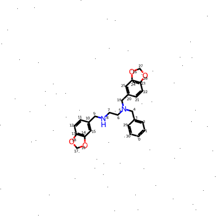 c1ccc(CN(CCNCc2ccc3c(c2)OCO3)Cc2ccc3c(c2)OCO3)cc1